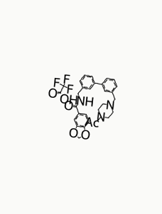 CC(=O)N1CCN(Cc2cccc(-c3cccc(CNC(=O)c4ccc5c(c4)OCO5)c3)c2)CC1.O=C(O)C(F)(F)F